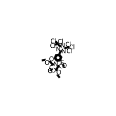 CCOC(=O)C(=C=O)N(C(=C=O)C(=O)OCC)c1ccc(-c2nc(C(Cl)(Cl)Cl)nc(C(Cl)(Cl)Cl)n2)cc1F